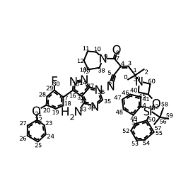 CC(C)(C=C(C#N)C(=O)N1CCC[C@@H](n2nc(-c3ccc(Oc4ccccc4)cc3F)c3c(N)ncnc32)C1)N1CC(O[Si](c2ccccc2)(c2ccccc2)C(C)(C)C)C1